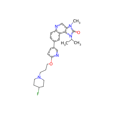 CC(C)n1c(=O)n(C)c2cnc3ccc(-c4ccc(OCCCN5CCC(F)CC5)nc4)cc3c21